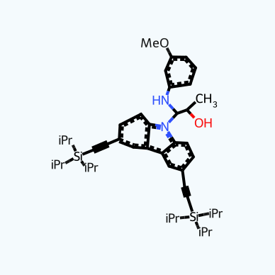 COc1cccc(NC(C(C)O)n2c3ccc(C#C[Si](C(C)C)(C(C)C)C(C)C)cc3c3cc(C#C[Si](C(C)C)(C(C)C)C(C)C)ccc32)c1